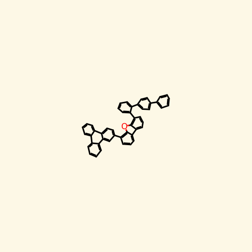 c1ccc(-c2ccc(-c3ccccc3-c3cccc4c3oc3c(-c5ccc6c7ccccc7c7ccccc7c6c5)cccc34)cc2)cc1